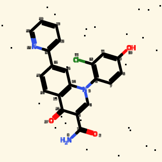 NC(=O)c1cn(-c2ccc(O)cc2Cl)c2cc(-c3ccccn3)ccc2c1=O